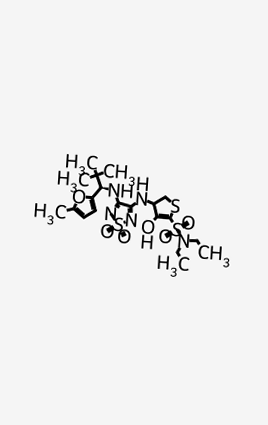 CCN(CC)S(=O)(=O)C1=C(O)C(NC2=NS(=O)(=O)N=C2N[C@@H](c2ccc(C)o2)C(C)(C)C)CS1